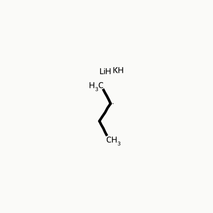 C[CH]CC.[KH].[LiH]